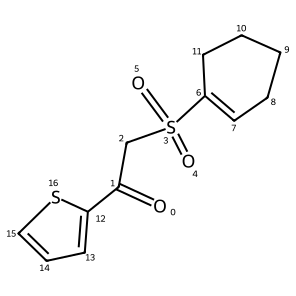 O=C(CS(=O)(=O)C1=CCCCC1)c1cccs1